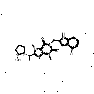 Cn1c(N[C@H]2CCC[C@@H]2O)nc2c1c(=O)n(Cc1cc3c(Cl)cccc3[nH]1)c(=O)n2C